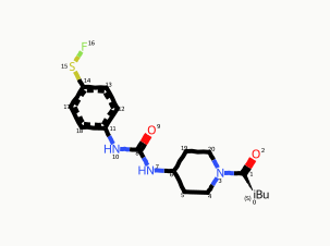 CC[C@H](C)C(=O)N1CCC(NC(=O)Nc2ccc(SF)cc2)CC1